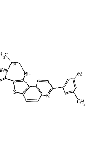 CCc1cc(C)cc(-c2ccc3c(ccc4sc5c(c43)NC[C@@H](C)NC5=O)n2)c1